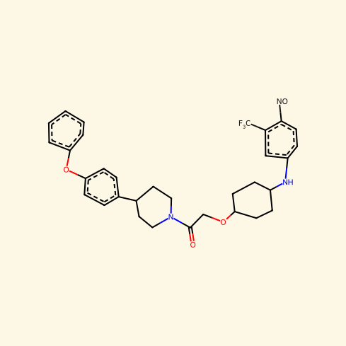 O=Nc1ccc(NC2CCC(OCC(=O)N3CCC(c4ccc(Oc5ccccc5)cc4)CC3)CC2)cc1C(F)(F)F